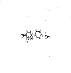 COCc1ccc(-c2ccc(=O)n(C)n2)cc1